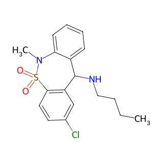 CCCCNC1c2ccccc2N(C)S(=O)(=O)c2ccc(Cl)cc21